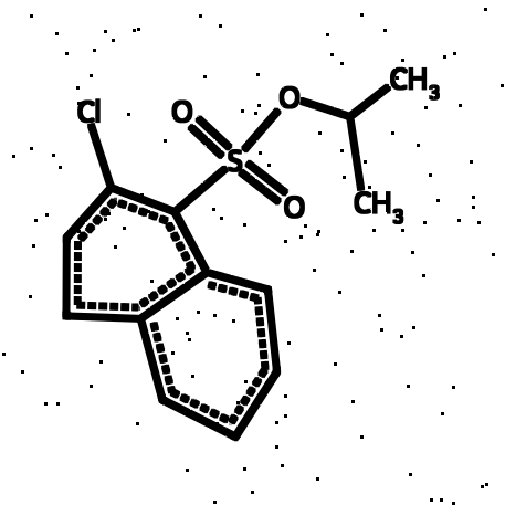 CC(C)OS(=O)(=O)c1c(Cl)ccc2ccccc12